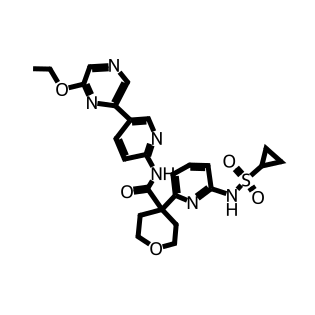 CCOc1cncc(-c2ccc(NC(=O)C3(c4cccc(NS(=O)(=O)C5CC5)n4)CCOCC3)nc2)n1